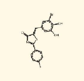 Cc1ccc(C2=NC(=O)/C(=C/c3cc(O)c(O)c(Br)c3)S2)cc1